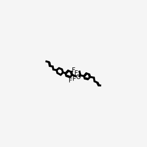 C/C=C/CCc1ccc(C(C)OC(F)(F)c2c(F)cc(C3CCC(CC/C=C/C)CC3)cc2F)cc1